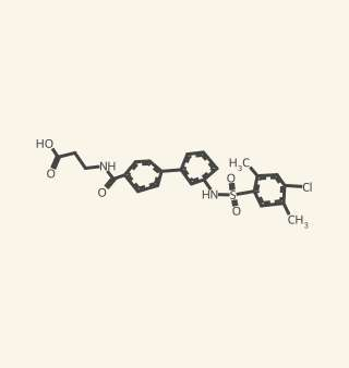 Cc1cc(S(=O)(=O)Nc2cccc(-c3ccc(C(=O)NCCC(=O)O)cc3)c2)c(C)cc1Cl